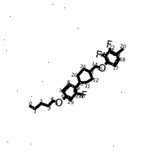 CCCCCOc1ccc(C2CCC(COc3ccc(C)c(F)c3F)CC2)c(F)c1